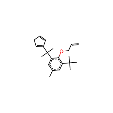 C=CCOc1c(C(C)(C)C)cc(C)cc1C(C)(C)C1=CCC=C1